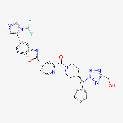 O=C(c1cc(-c2nc3cc(-c4cncn4C(F)F)ccc3o2)ccn1)N1CCC([C@H](c2ccccc2)n2nnc(CO)n2)CC1